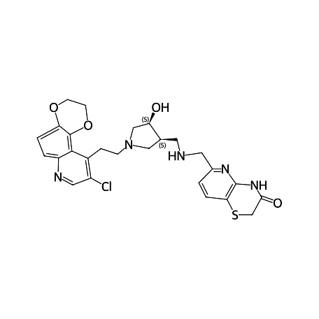 O=C1CSc2ccc(CNC[C@H]3CN(CCc4c(Cl)cnc5ccc6c(c45)OCCO6)C[C@H]3O)nc2N1